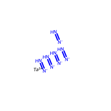 [N-]=N.[N-]=N.[N-]=N.[N-]=N.[N-]=N.[Ta+5]